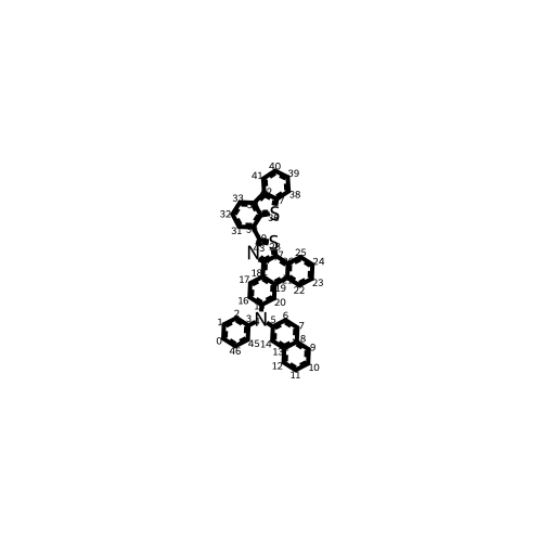 c1ccc(N(c2ccc3ccccc3c2)c2ccc3c(c2)c2ccccc2c2sc(-c4cccc5c4sc4ccccc45)nc32)cc1